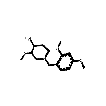 COc1ccc(CN2CCC(N)C(OC)C2)c(OC)c1